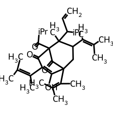 C=CC(C(C)C)C1(C)C(C(C)=C(C)C)CC2(C(C)=C(C)C)C(=O)C1(C(=O)C(C)C)C(=O)C(C(C)=C(C)C)=C2O